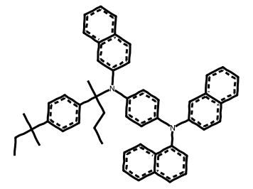 CCCC(C)(c1ccc(C(C)(C)CC)cc1)N(c1ccc(N(c2ccc3ccccc3c2)c2cccc3ccccc23)cc1)c1ccc2ccccc2c1